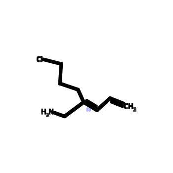 C=C/C=C(/CN)CCCCl